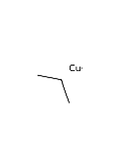 CCC.[Cu]